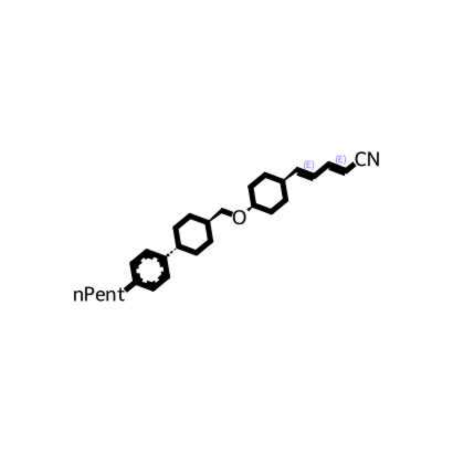 CCCCCc1ccc([C@H]2CC[C@H](CO[C@H]3CC[C@H](/C=C/C=C/C#N)CC3)CC2)cc1